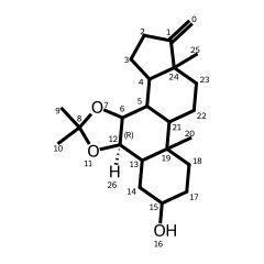 C=C1CCC2C3C4OC(C)(C)O[C@@H]4C4CC(O)CCC4(C)C3CCC12C